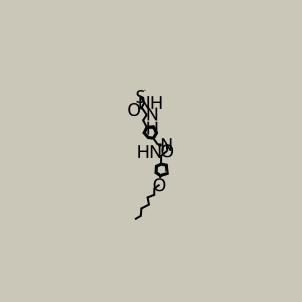 CCCCCCCOc1ccc(C2NC(c3ccc(CC(NC)C(=O)NSC)cc3)=NO2)cc1